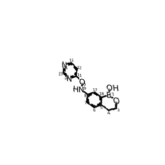 OB1OCCc2ccc(NOc3ccncn3)cc21